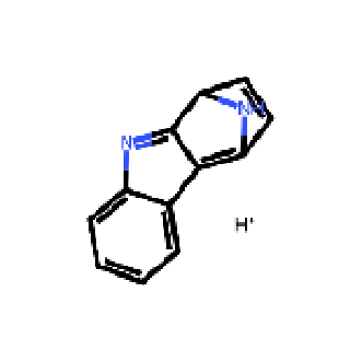 C1=CC2NC1=C1C2=Nc2ccccc21.[H+]